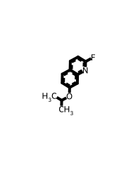 CC(C)Oc1ccc2ccc(F)nc2c1